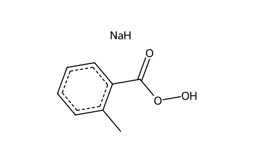 Cc1ccccc1C(=O)OO.[NaH]